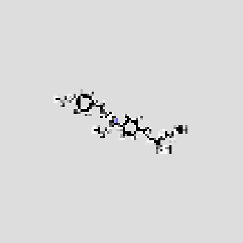 C/C(=N\OCc1ccc(C(F)(F)F)cc1)c1ccc(OCC(=N)OC=N)cc1